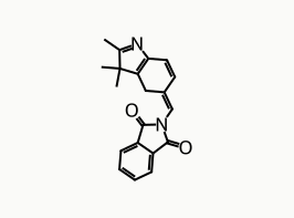 CC1=NC2=C(CC(=CN3C(=O)c4ccccc4C3=O)C=C2)C1(C)C